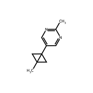 Cc1ncc(C23CC2(C)C3)cn1